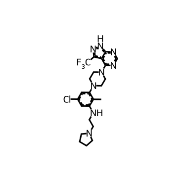 Cc1c(NCCN2CCCC2)cc(Cl)cc1N1CCN(c2ncnc3[nH]nc(C(F)(F)F)c23)CC1